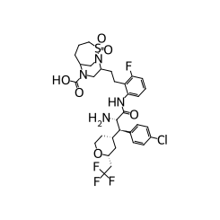 N[C@H](C(=O)Nc1cccc(F)c1CCC1CN(C(=O)O)C2CCCS(=O)(=O)N1C2)[C@@H](c1ccc(Cl)cc1)[C@H]1CCO[C@@H](CC(F)(F)F)C1